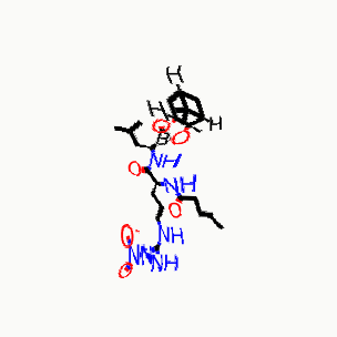 CCCCC(=O)N[C@@H](CCCNC1NN1[N+](=O)[O-])C(=O)N[C@@H](CC(C)C)B1O[C@@H]2C[C@@H]3C[C@@H](C3(C)C)[C@]2(C)O1